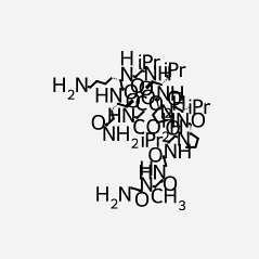 CC(C)C[C@H](NC(=O)[C@@H]1CCCN1C(=O)[C@@H](NC(=O)[C@@H]1CCCN1C(=O)[C@@H](NC(=O)CNC(=O)[C@H](C)NC(=O)CN)C(C)C)C(C)C)C(=O)N[C@H](C(=O)N[C@@H](CCCCN)C(=O)N[C@@H](CCC(N)=O)C(=O)N[C@@H](CC(=O)O)C(=O)O)C(C)C